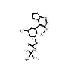 CNc1cnc2c(c1N1CC(C)C[C@H](NC(=O)OC(C)(C)C)C1)CCO2